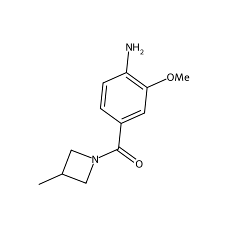 COc1cc(C(=O)N2CC(C)C2)ccc1N